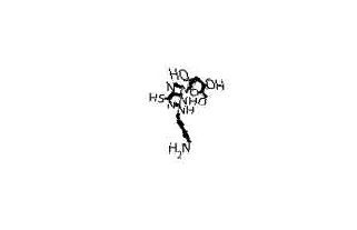 NCC#CC#CCNc1nc(S)c2ncn([C@@H]3O[C@H](CO)[C@H](O)C[C@@H]3O)c2n1